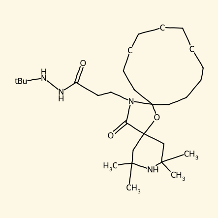 CC(C)(C)NNC(=O)CCN1C(=O)C2(CC(C)(C)NC(C)(C)C2)OC12CCCCCCCCCCC2